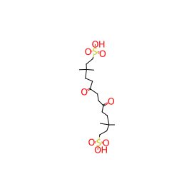 CC(C)(CCC(=O)CCC(=O)CCC(C)(C)CCS(=O)(=O)O)CCS(=O)(=O)O